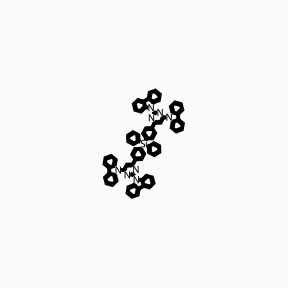 c1ccc([Si](c2ccccc2)(c2ccc(-c3cc(-n4c5ccccc5c5ccccc54)nc(-n4c5ccccc5c5ccccc54)n3)cc2)c2ccc(-c3cc(-n4c5ccccc5c5ccccc54)nc(-n4c5ccccc5c5ccccc54)n3)cc2)cc1